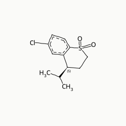 CC(C)[C@@H]1CCS(=O)(=O)c2ccc(Cl)cc21